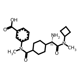 CN(C(=O)C1CCC([C@H](N)C(=O)N(C)C2CCC2)CC1)c1cccc(C(=O)O)c1